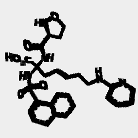 O=C(NC(CCCCCNc1ccccn1)(NS(=O)(=O)c1cccc2ccccc12)C(=O)O)C1CCON1